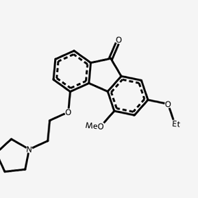 CCOc1cc(OC)c2c(c1)C(=O)c1cccc(OCCN3CCCC3)c1-2